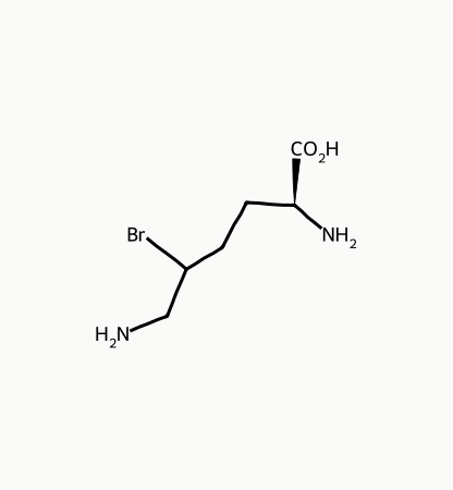 NCC(Br)CC[C@H](N)C(=O)O